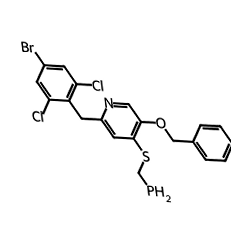 PCSc1cc(Cc2c(Cl)cc(Br)cc2Cl)ncc1OCc1ccccc1